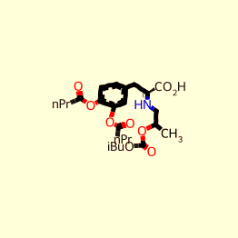 CCCC(=O)Oc1ccc(C[C@H](NCC(C)OC(=O)OCC(C)C)C(=O)O)cc1OC(=O)CCC